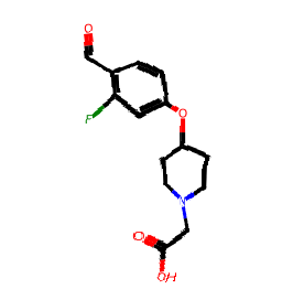 O=Cc1ccc(OC2CCN(CC(=O)O)CC2)cc1F